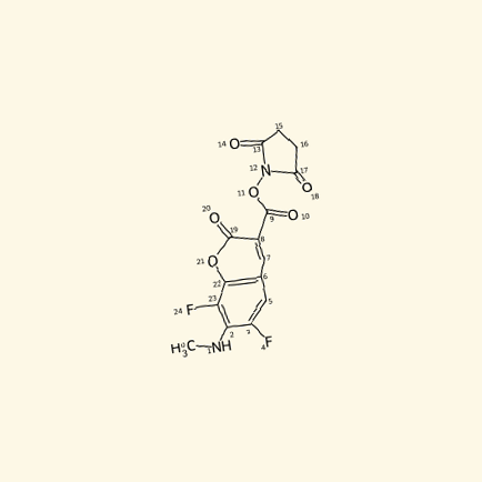 CNc1c(F)cc2cc(C(=O)ON3C(=O)CCC3=O)c(=O)oc2c1F